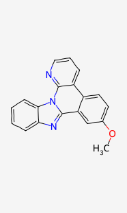 COc1ccc2c3cccnc3n3c4ccccc4nc3c2c1